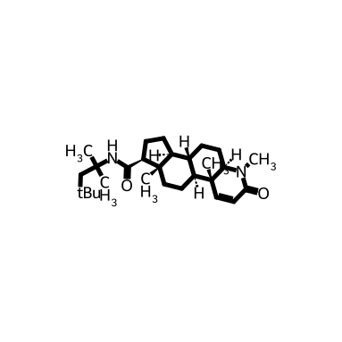 CN1C(=O)C=C[C@]2(C)[C@H]3CC[C@]4(C)[C@@H](C(=O)NC(C)(C)CC(C)(C)C)CC[C@H]4[C@@H]3CC[C@@H]12